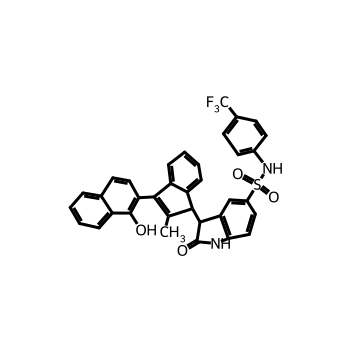 CC1=C(c2ccc3ccccc3c2O)c2ccccc2C1C1C(=O)Nc2ccc(S(=O)(=O)Nc3ccc(C(F)(F)F)cc3)cc21